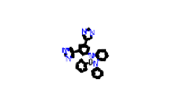 c1ccc(B2N(c3ccccc3)c3ccccc3N2c2cc(-c3cncnc3)cc(-c3cncnc3)c2)cc1